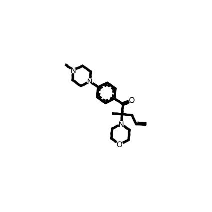 C=CCC(C)(C(=O)c1ccc(N2CCN(C)CC2)cc1)N1CCOCC1